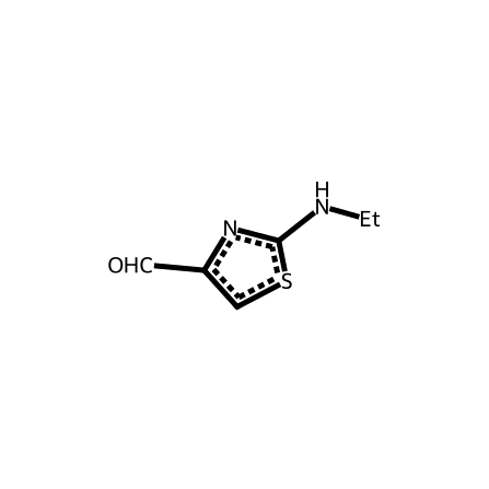 CCNc1nc(C=O)cs1